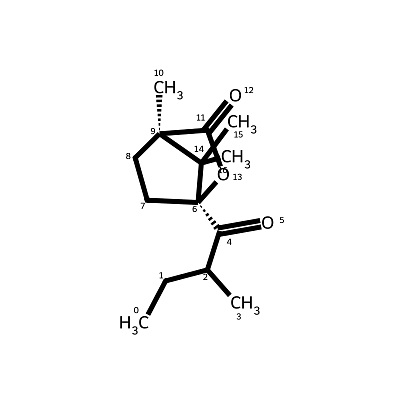 CCC(C)C(=O)[C@@]12CC[C@@](C)(C(=O)O1)C2(C)C